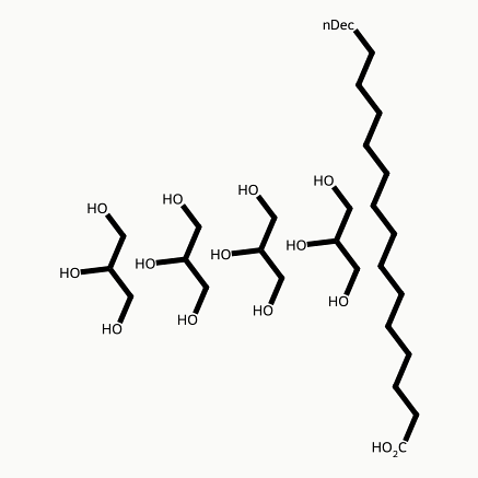 CCCCCCCCCCCCCCCCCCCCCCCC(=O)O.OCC(O)CO.OCC(O)CO.OCC(O)CO.OCC(O)CO